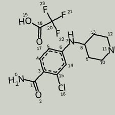 NC(=O)c1ccc(NC2CCNCC2)cc1Cl.O=C(O)C(F)(F)F